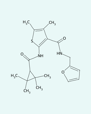 Cc1sc(NC(=O)C2C(C)(C)C2(C)C)c(C(=O)NCc2ccco2)c1C